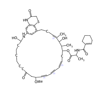 COC1\C=C/C=C\C=C/CC(OC(=O)C(C)NC(=O)C2=CCCCC2)C(C)C(O)/C(C)=C\CCc2cc(cc3c2SCC(=O)N3)NC(O)CCCCCCC(=O)C1